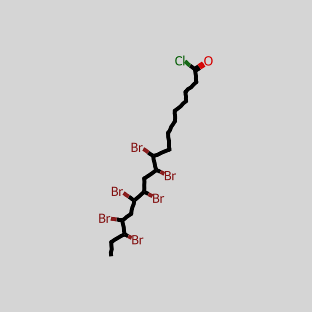 CCC(Br)C(Br)CC(Br)C(Br)CC(Br)C(Br)CCCCCCCC(=O)Cl